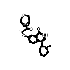 Cc1ccccc1-c1c[nH]c(=O)c2cc(O[C@H](C)C(=O)N3C4CCC3COC4)ccc12